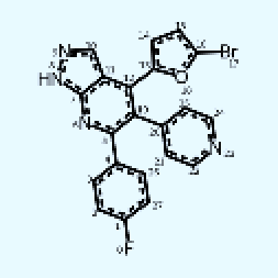 Fc1ccc(-c2nc3[nH]ncc3c(-c3ccc(Br)o3)c2-c2ccncc2)cc1